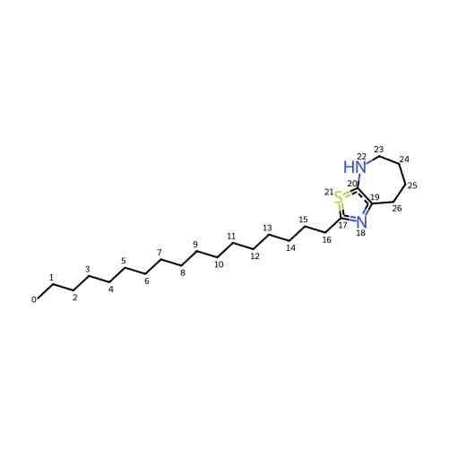 CCCCCCCCCCCCCCCCCc1nc2c(s1)NCCCC2